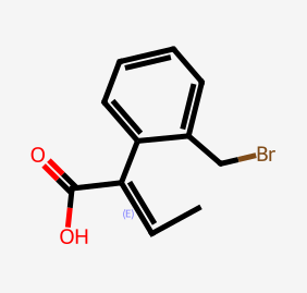 C/C=C(/C(=O)O)c1ccccc1CBr